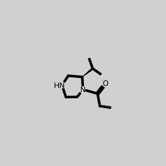 CCC(=O)N1CCNC[C@H]1C(C)C